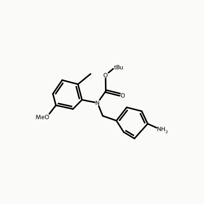 COc1ccc(C)c(N(Cc2ccc(N)cc2)C(=O)OC(C)(C)C)c1